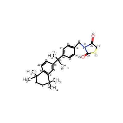 CC1(C)CCC(C)(C)c2cc(C(C)(C)c3ccc(CN4C(=O)CSC4=O)cc3)ccc21